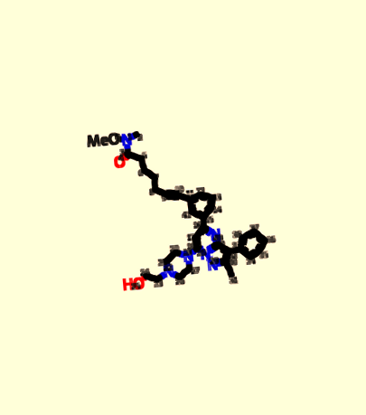 CON(C)C(=O)CCCCC#Cc1cccc(-c2cc(N3CCN(CCO)CC3)n3nc(C)c(-c4ccccc4)c3n2)c1